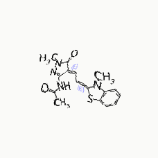 CC(=O)NC1=NN(C)C(=O)/C1=C/C=C1/Sc2ccccc2N1C